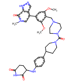 COc1cc(-c2cn(C)c(=O)c3[nH]ncc23)cc(OC)c1CN1CCN(C(=O)N2CCC(c3ccc(NC4CCC(=O)NC4=O)cc3)CC2)CC1